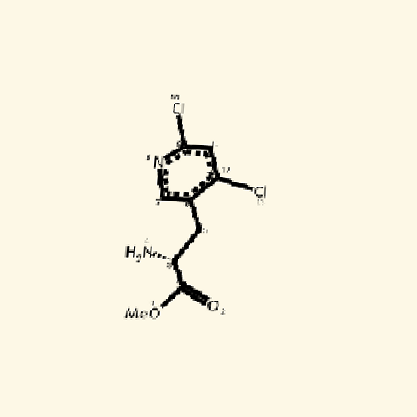 COC(=O)[C@H](N)Cc1cnc(Cl)cc1Cl